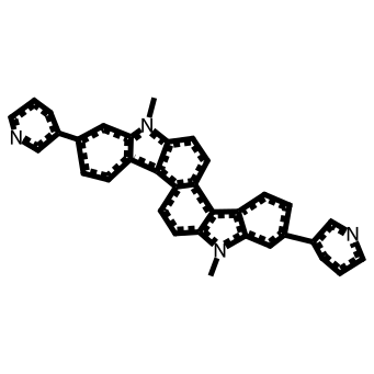 Cn1c2cc(-c3cccnc3)ccc2c2c3ccc4c(c3ccc21)c1ccc(-c2cccnc2)cc1n4C